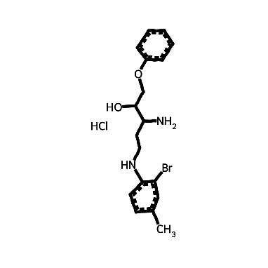 Cc1ccc(NCCC(N)C(O)COc2ccccc2)c(Br)c1.Cl